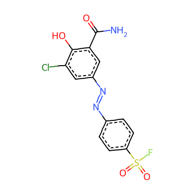 NC(=O)c1cc(N=Nc2ccc(S(=O)(=O)F)cc2)cc(Cl)c1O